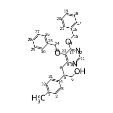 Cc1ccc(C(CO)Cc2ncnc(OCc3ccccc3)c2OCc2ccccc2)cc1